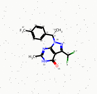 Cc1nc2c(c(C(F)F)nn2[C@@H](C)c2ccc(C(F)(F)F)cc2)c(=O)[nH]1